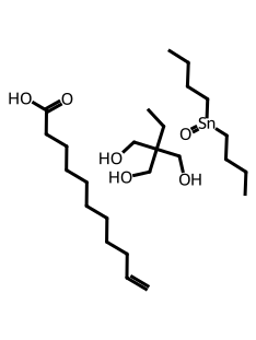 C=CCCCCCCCCC(=O)O.CCC(CO)(CO)CO.CCC[CH2][Sn](=[O])[CH2]CCC